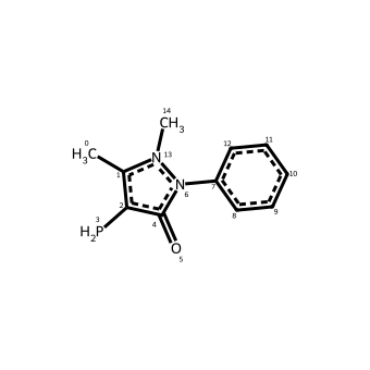 Cc1c(P)c(=O)n(-c2ccccc2)n1C